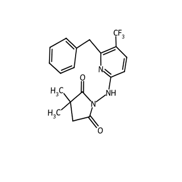 CC1(C)CC(=O)N(Nc2ccc(C(F)(F)F)c(Cc3ccccc3)n2)C1=O